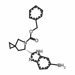 Bc1ccc2nc([C@@H]3CC4(CC4)CN3C(=O)OCc3ccccc3)[nH]c2c1